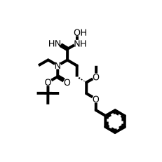 CCN(C(=O)OC(C)(C)C)C(CC[C@@H](COCc1ccccc1)OC)C(=N)NO